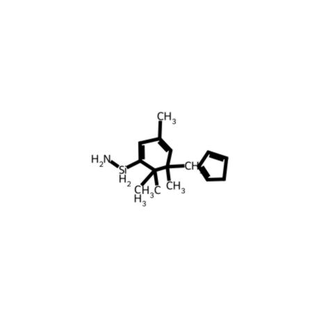 C1=CCC=C1.CC1=CC(C)(C)C(C)(C)C([SiH2]N)=C1